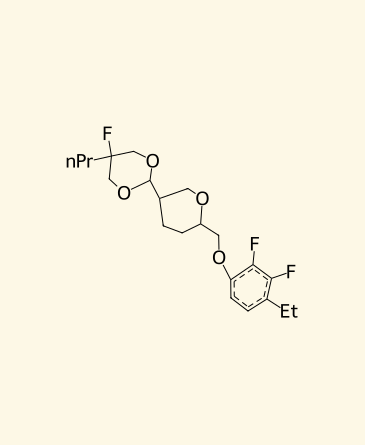 CCCC1(F)COC(C2CCC(COc3ccc(CC)c(F)c3F)OC2)OC1